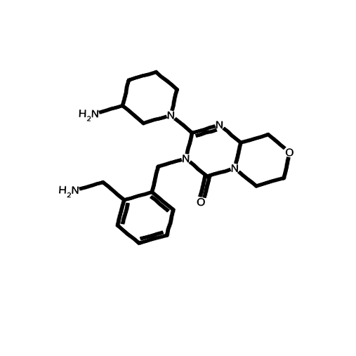 NCc1ccccc1CN1C(=O)N2CCOCC2N=C1N1CCCC(N)C1